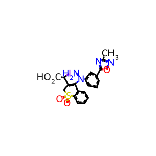 Cc1noc(-c2cccc(N(N)C3=C(C(I)C(=O)O)CS(=O)(=O)c4ccccc43)c2)n1